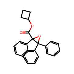 O=C(OC1CCC1)C1(c2ccccc2)OC1(c1ccccc1)c1ccccc1